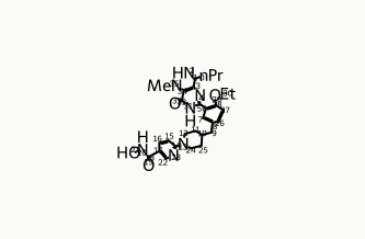 CCCC(=N)c1nc(-c2cc(CC3CCN(c4ccc(C(=O)NO)cn4)CC3)ccc2OCC)[nH]c(=O)c1NC